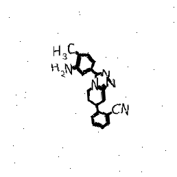 Cc1ccc(-c2nnc3n2CCC(c2ccccc2C#N)C3)cc1N